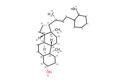 CCCCC1CCCCC1CC[C@@H](C)[C@H]1CC[C@H]2[C@@H]3CCC4C[C@@H](O)CC[C@]4(C)[C@H]3CC[C@]12C